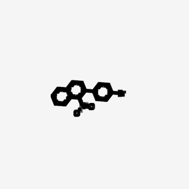 O=[N+]([O-])c1c(-c2ccc(Br)cc2)ccc2ccccc12